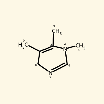 CC1=C(C)N(C)C=NC1